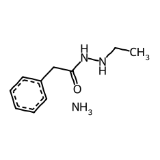 CCNNC(=O)Cc1ccccc1.N